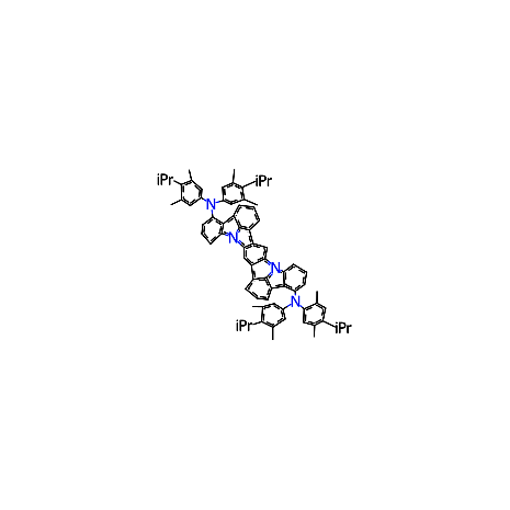 Cc1cc(N(c2cc(C)c(C(C)C)c(C)c2)c2cccc3c2c2cccc4c5cc6c(cc5n3c42)c2cccc3c4c(N(c5cc(C)c(C(C)C)c(C)c5)c5cc(C)c(C(C)C)c(C)c5)cccc4n6c23)c(C)cc1C(C)C